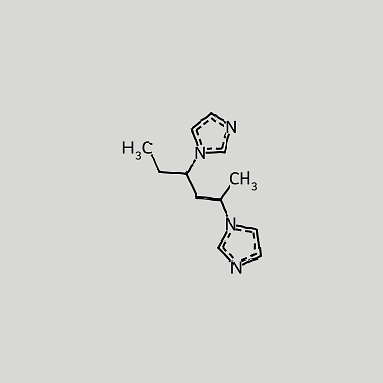 CCC(CC(C)n1ccnc1)n1ccnc1